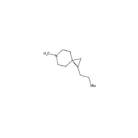 CN1CCC2(CC1)CC2CCC(C)(C)C